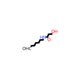 O=CCCCCCCNC(=O)CCO